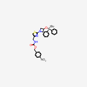 CC(C)(C)[Si](OC1CN(c2nc(CNC(=O)OCc3ccc([N+](=O)[O-])cc3)cs2)C1)(c1ccccc1)c1ccccc1